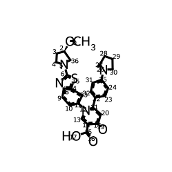 CO[C@@H]1CCN(c2nc3ccc(-n4cc(C(=O)O)c(=O)cc4-c4ccc(N5CCCC5)cc4)cc3s2)C1